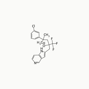 CC(C)(CC(O)(Cc1cc2cnccc2[nH]1)C(F)(F)F)c1cccc(Cl)c1